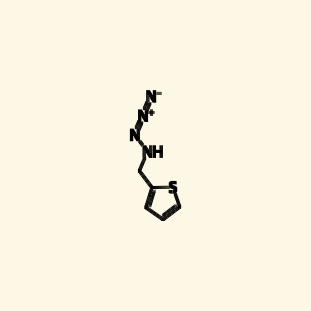 [N-]=[N+]=NNCc1cccs1